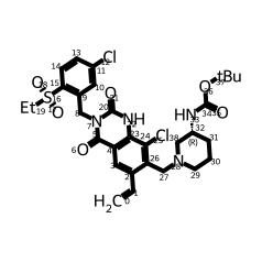 C=Cc1cc2c(=O)n(Cc3cc(Cl)ccc3S(=O)(=O)CC)c(=O)[nH]c2c(Cl)c1CN1CCC[C@@H](NC(=O)OC(C)(C)C)C1